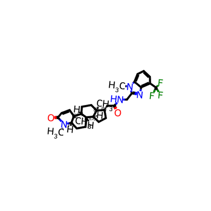 CN1C(=O)C=C[C@]2(C)[C@H]3CC[C@]4(C)[C@@H](CC(=O)NCc5nc6c(C(F)(F)F)cccc6n5C)CC[C@H]4[C@@H]3CC[C@@H]12